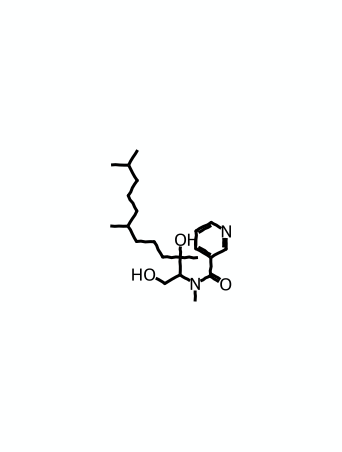 CC(C)CCCC(C)CCCC(C)(O)C(CO)N(C)C(=O)c1cccnc1